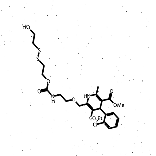 CCOC(=O)C1=C(COCCNC(=O)OCCSSCCO)NC(C)=C(C(=O)OC)C1c1ccccc1Cl